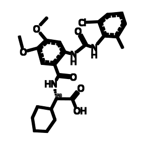 COc1cc(NC(=O)Nc2c(C)cccc2Cl)c(C(=O)N[C@H](C(=O)O)C2CCCCC2)cc1OC